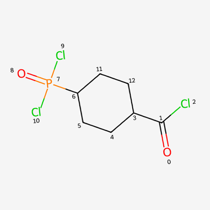 O=C(Cl)C1CCC(P(=O)(Cl)Cl)CC1